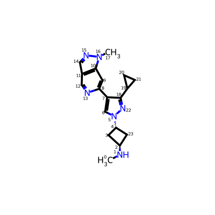 CN[C@H]1C[C@H](n2cc(-c3cc4c(cn3)cnn4C)c(C3CC3)n2)C1